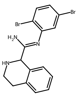 NC(=Nc1cc(Br)ccc1Br)C1NCCc2ccccc21